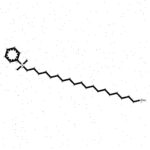 CCCCCCCCCCCCCCCCCCCCCCCCCCCC[CH][Si](C)(C)c1ccccc1